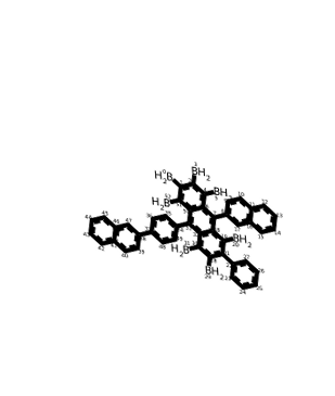 Bc1c(B)c(B)c2c(-c3ccc4ccccc4c3)c3c(B)c(-c4ccccc4)c(B)c(B)c3c(-c3ccc(-c4ccc5ccccc5c4)cc3)c2c1B